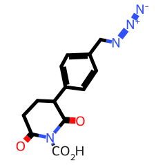 [N-]=[N+]=NCc1ccc(C2CCC(=O)N(C(=O)O)C2=O)cc1